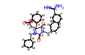 N=C(N)c1ccc2ccc(CN3C(=O)N(Cc4ccccc4)C(CC(=O)O)(c4ccccc4)C3=O)cc2c1